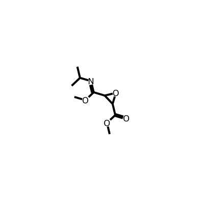 COC(=O)C1OC1C(=NC(C)C)OC